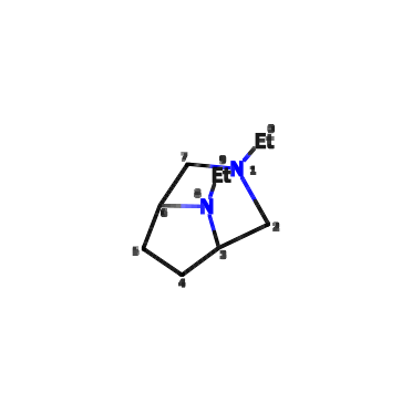 CCN1CC2CCC(C1)N2CC